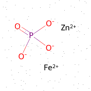 O=P([O-])([O-])[O-].[Fe+2].[Zn+2]